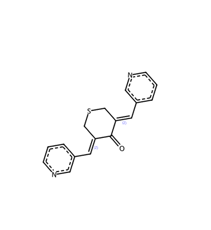 O=C1/C(=C/c2cccnc2)CSC/C1=C\c1cccnc1